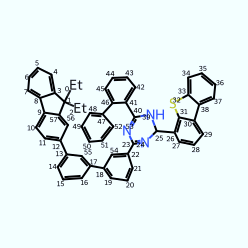 CCC1(CC)c2ccccc2-c2ccc(-c3cccc(-c4cccc(C5=NC(c6cccc7c6sc6ccccc67)NC(c6ccccc6-c6ccccc6)=N5)c4)c3)cc21